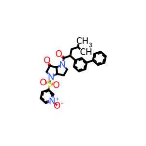 CC(C)CC(C(=O)N1CCC2C1C(=O)CN2S(=O)(=O)c1ccc[n+]([O-])c1)c1cccc(-c2ccccc2)c1